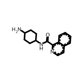 NC1CCC(NC(=O)c2nccc3ccccc23)CC1